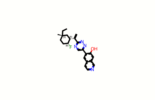 C=C(c1ncc(-c2cc3ccncc3cc2O)nn1)[C@H]1C[C@@](C)(CC)CC[C@H]1F